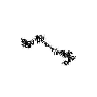 CN(CC(=O)NCCCOCCOCCOCCCNC(=O)CN(C)C(=O)[C@@H](NC(=O)c1cn(Cc2ccc(F)cc2)c2ccccc12)C(C)(C)C)C(=O)COc1ccc(-c2ccc3n2[B-](F)(F)[N+]2=C(c4cccs4)C=CC2=C3)cc1